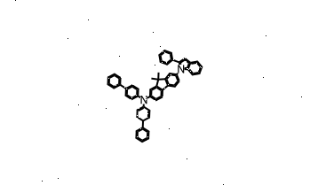 CC1(C)c2cc(N(C3=CCC(c4ccccc4)C=C3)c3ccc(-c4ccccc4)cc3)ccc2-c2ccc(-n3c(-c4ccccc4)cc4ccccc43)cc21